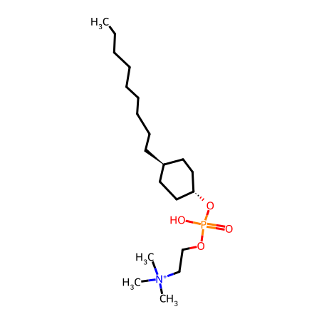 CCCCCCCCC[C@H]1CC[C@H](OP(=O)(O)OCC[N+](C)(C)C)CC1